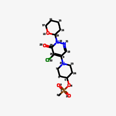 CS(=O)(=O)OC1CCN(c2cnn(C3CCCCO3)c(=O)c2Cl)CC1